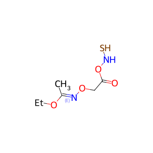 CCO/C(C)=N/OCC(=O)ONS